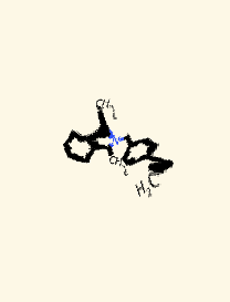 C=Cc1ccc(Cn2c(=C)c3ccccc3c2=C)cc1